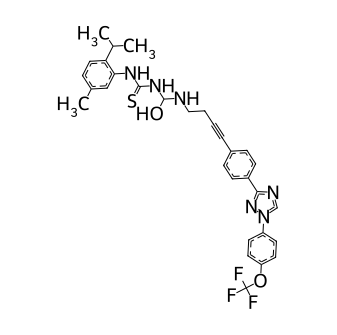 Cc1ccc(C(C)C)c(NC(=S)NC(O)NCCC#Cc2ccc(-c3ncn(-c4ccc(OC(F)(F)F)cc4)n3)cc2)c1